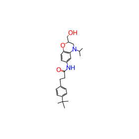 CC(C)N1CC(CO)Oc2ccc(NC(=O)CCc3ccc(C(C)(C)C)cc3)cc21